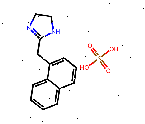 O=S(=O)(O)O.c1ccc2c(CC3=NCCN3)cccc2c1